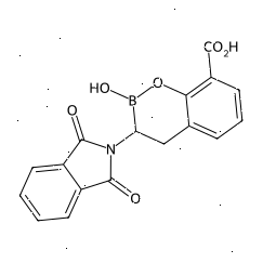 O=C(O)c1cccc2c1OB(O)C(N1C(=O)c3ccccc3C1=O)C2